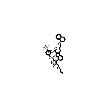 C=CCOCc1c(-c2cccc3c(CCCOc4cccc5ccccc45)c(C(=O)O)n(C)c23)c(COc2ccc(S(C)(=O)=O)cc2)nn1C